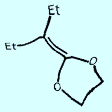 CCC(CC)=C1OCCO1